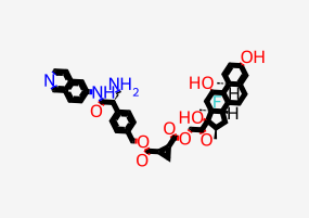 C[C@@H]1C[C@H]2[C@@H]3CCC4=CC(O)C=C[C@]4(C)[C@@]3(F)[C@@H](O)C[C@]2(C)[C@@]1(O)C(=O)COC(=O)C1CC1C(=O)OCc1ccc([C@@H](CN)C(=O)Nc2ccc3cnccc3c2)cc1